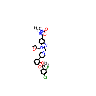 Cn1nc(-c2ccc3c(c2)nc(CN2CCC(c4cccc5c4OC(C)(c4ccc(Cl)cc4F)O5)CC2)n3C[C@@H]2CCO2)oc1=O